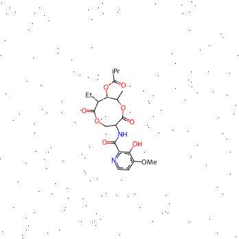 CCC1C(=O)OCC(NC(=O)c2nccc(OC)c2O)C(=O)OC(C)C1OC(=O)C(C)C